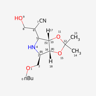 CCCCOC[C@H]1NC(C(C#N)CO)[C@@H]2OC(C)(C)O[C@H]12